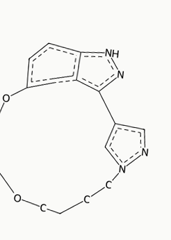 c1cc2[nH]nc3c2cc1OCCCOCCCCn1cc-3cn1